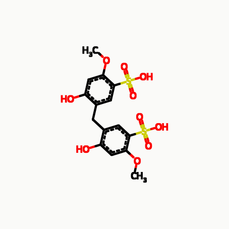 COc1cc(O)c(Cc2cc(S(=O)(=O)O)c(OC)cc2O)cc1S(=O)(=O)O